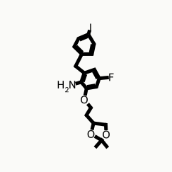 CC1(C)OCC(CCOc2cc(F)cc(Cc3ccc(I)cc3)c2N)O1